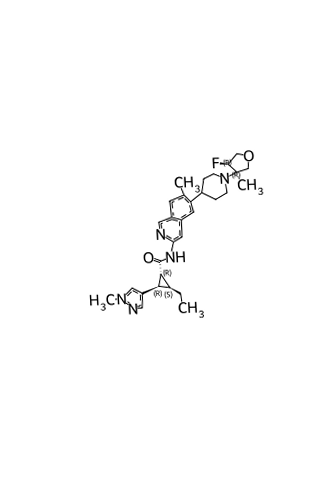 CC[C@@H]1[C@@H](C(=O)Nc2cc3cc(C4CCN([C@]5(C)COC[C@@H]5F)CC4)c(C)cc3cn2)[C@@H]1c1cnn(C)c1